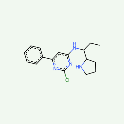 CCC(Nc1cc(-c2ccccc2)nc(Cl)n1)C1CCCN1